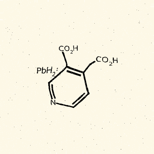 O=C(O)c1ccncc1C(=O)O.[PbH2]